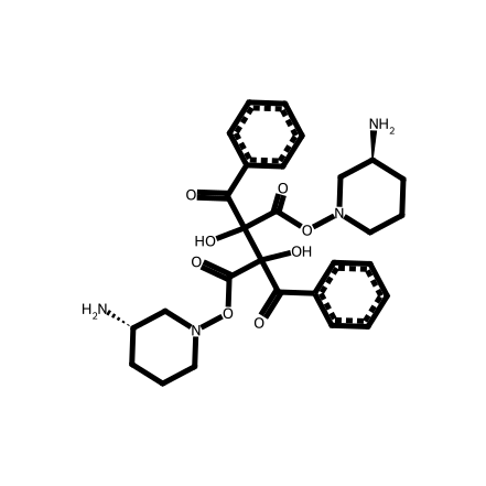 N[C@H]1CCCN(OC(=O)C(O)(C(=O)c2ccccc2)C(O)(C(=O)ON2CCC[C@H](N)C2)C(=O)c2ccccc2)C1